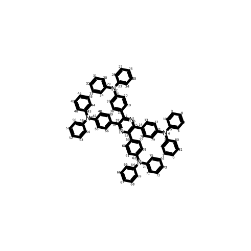 c1ccc(N(c2ccccc2)c2ccc(-c3nc(-c4ccc(N(c5ccccc5)c5ccccc5)cc4)c(-c4ccc(N(c5ccccc5)c5ccccc5)cc4)nc3-c3ccc(N(c4ccccc4)c4ccccc4)cc3)cc2)cc1